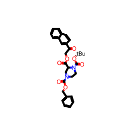 CC(C)(C)OC(=O)N1CCN(C(=O)OCc2ccccc2)CC1C(=O)OCC(=O)c1ccc2ccccc2c1